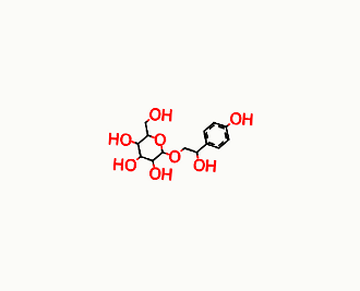 OCC1OC(OCC(O)c2ccc(O)cc2)C(O)C(O)C1O